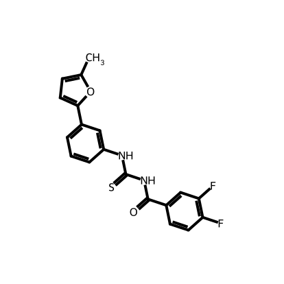 Cc1ccc(-c2cccc(NC(=S)NC(=O)c3ccc(F)c(F)c3)c2)o1